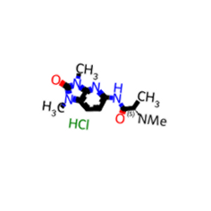 CN[C@@H](C)C(=O)Nc1ccc2c(n1)n(C)c(=O)n2C.Cl